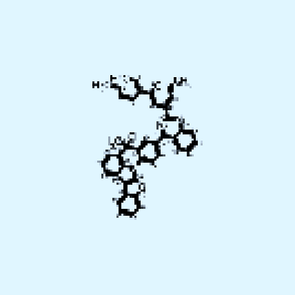 C=C\C=C/C(=C\C)C(/C)=C/C(=C\C=C)c1nc(-c2ccc3c(c2)C(C)(C)c2cccc4c5c6ccccc6oc5n-3c24)c2ccccc2n1